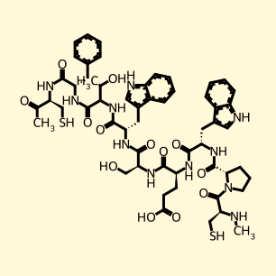 CN[C@@H](CS)C(=O)N1CCC[C@H]1C(=O)N[C@@H](Cc1c[nH]c2ccccc12)C(=O)N[C@@H](CCC(=O)O)C(=O)N[C@@H](CO)C(=O)N[C@@H](Cc1c[nH]c2ccccc12)C(=O)NC(C(=O)N[C@@H](Cc1ccccc1)C(=O)N[C@@H](CS)C(C)=O)[C@@H](C)O